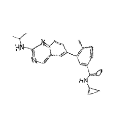 Cc1ccc(C(=O)NC2CC2)cc1-c1ccc2nc(NC(C)C)ncc2c1